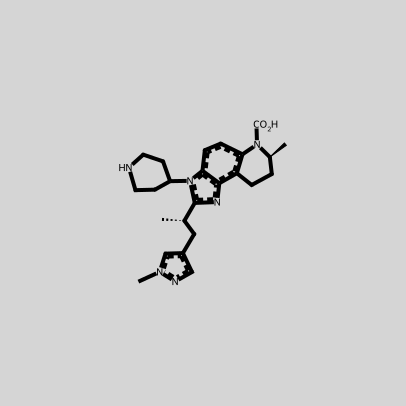 C[C@@H](Cc1cnn(C)c1)c1nc2c3c(ccc2n1C1CCNCC1)N(C(=O)O)[C@@H](C)CC3